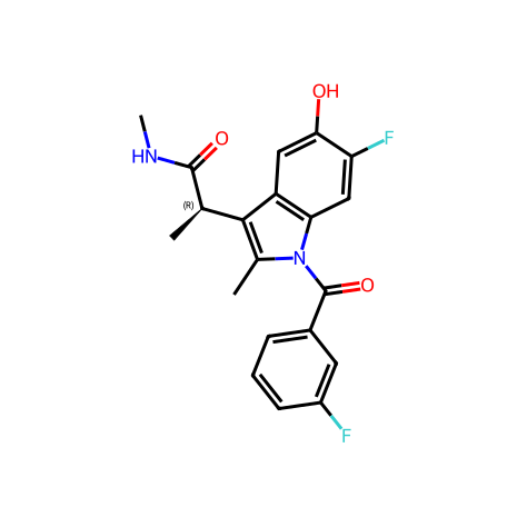 CNC(=O)[C@H](C)c1c(C)n(C(=O)c2cccc(F)c2)c2cc(F)c(O)cc12